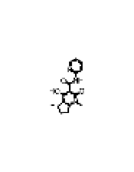 C[C@@H]1CCc2c1c(O)c(C(=O)Nc1ccccn1)c(=O)n2C